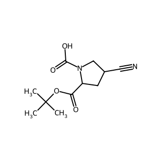 CC(C)(C)OC(=O)C1CC(C#N)CN1C(=O)O